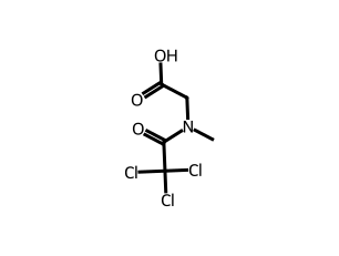 CN(CC(=O)O)C(=O)C(Cl)(Cl)Cl